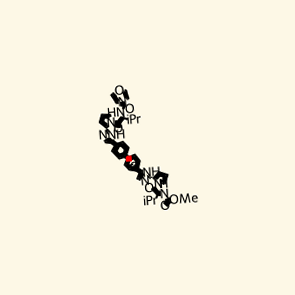 COC(=O)N[C@H](C(=O)N1CCC[C@H]1c1ncc(C23CCC(c4ccc(-c5cnc([C@@H]6CCCN6C(=O)[C@@H](NC(=O)N6CCOCC6)C(C)C)[nH]5)cc4)(CC2)CC3)[nH]1)C(C)C